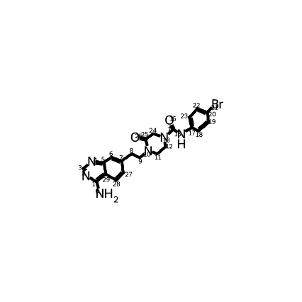 Nc1ncnc2cc(CCN3CCN(C(=O)Nc4ccc(Br)cc4)CC3=O)ccc12